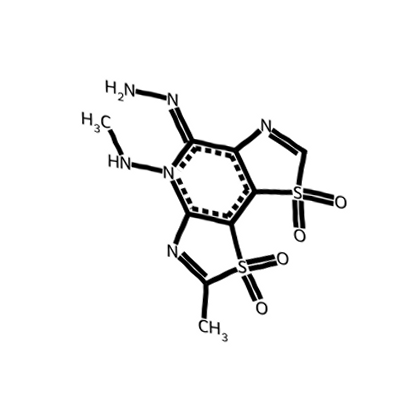 CNn1c2c(c3c(/c1=N/N)N=CS3(=O)=O)S(=O)(=O)C(C)=N2